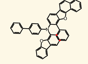 c1ccc(-c2ccc(N(c3ccc4c(oc5c6ccccc6ccc45)c3-c3ccccc3)c3cccc4c3oc3ccccc34)cc2)cc1